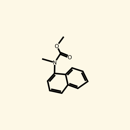 COC(=O)N(C)c1cccc2ccccc12